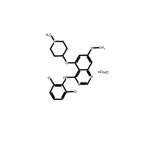 COc1cc(OC2CCN(C)CC2)c2c(Nc3c(Cl)cccc3Cl)ncnc2c1.Cl.Cl